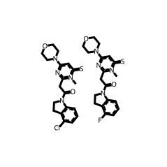 Cn1c(CC(=O)N2CCc3c(Cl)cccc32)nc(N2CCOCC2)cc1=S.Cn1c(CC(=O)N2CCc3c(F)cccc32)nc(N2CCOCC2)cc1=S